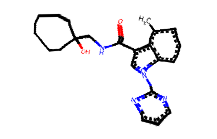 Cc1cccc2c1c(C(=O)NCC1(O)CCCCCC1)cn2-c1ncccn1